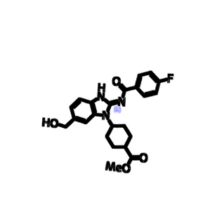 COC(=O)C1CCC(n2/c(=N/C(=O)c3ccc(F)cc3)[nH]c3ccc(CO)cc32)CC1